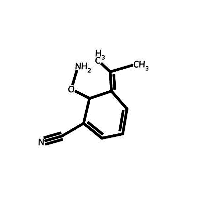 CC(C)=C1C=CC=C(C#N)C1ON